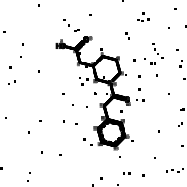 O=C(O)CC1CCCN(C(=O)Cc2ccccc2)C1